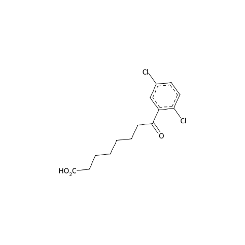 O=C(O)CCCCCCC(=O)c1cc(Cl)ccc1Cl